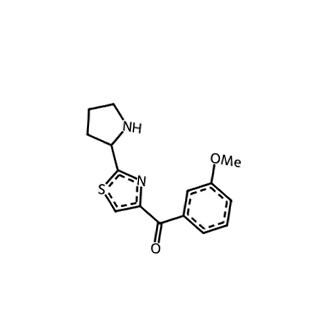 COc1cccc(C(=O)c2csc(C3CCCN3)n2)c1